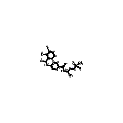 CCC(Nc1cnc(C(=O)N[C@H](C)/C=C/S(C)(=O)=O)cn1)c1cccc(F)c1Cl